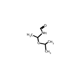 CC(C)OC(C)NC=O